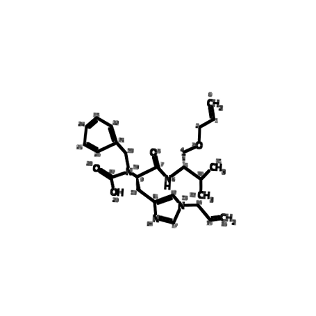 C=CCOC[C@@H](NC(=O)[C@@H](Cc1cn(CC=C)cn1)N(Cc1ccccc1)C(=O)O)C(C)C